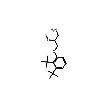 COC(CN)COc1cccc(C(C)(C)C)c1C(C)(C)C